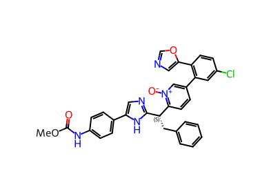 COC(=O)Nc1ccc(-c2cnc([C@@H](Cc3ccccc3)c3ccc(-c4cc(Cl)ccc4-c4cnco4)c[n+]3[O-])[nH]2)cc1